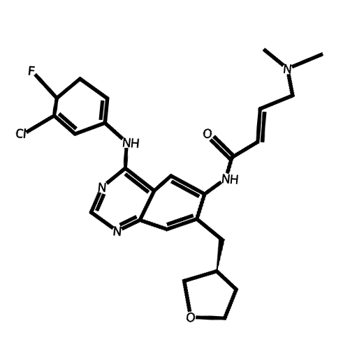 CN(C)C/C=C/C(=O)Nc1cc2c(NC3=CCC(F)C(Cl)=C3)ncnc2cc1C[C@H]1CCOC1